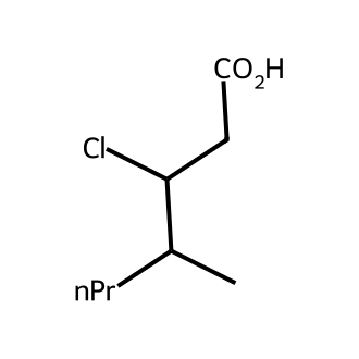 CCCC(C)C(Cl)CC(=O)O